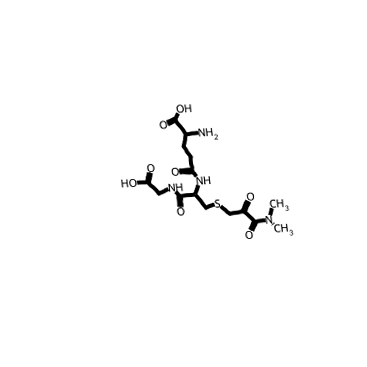 CN(C)C(=O)C(=O)CSCC(NC(=O)CCC(N)C(=O)O)C(=O)NCC(=O)O